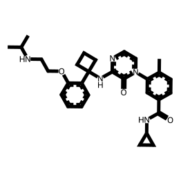 Cc1ccc(C(=O)NC2CC2)cc1-n1ccnc(NC2(c3ccccc3OCCNC(C)C)CCC2)c1=O